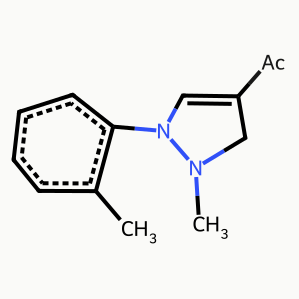 CC(=O)C1=CN(c2ccccc2C)N(C)C1